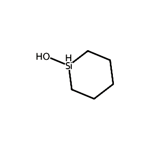 O[SiH]1CCCCC1